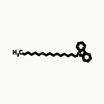 CCCCCCCCCCCCCCCCn1c2ccccc2c2ccccc21